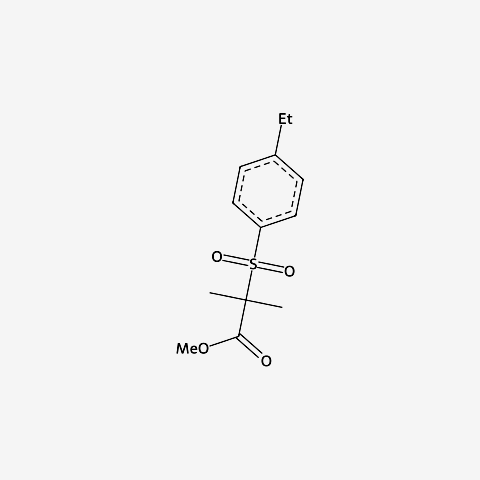 CCc1ccc(S(=O)(=O)C(C)(C)C(=O)OC)cc1